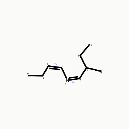 CC/C=C\N=C/C(C)CC